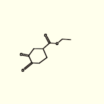 CCOC(=O)C1CCC(=O)C(=O)C1